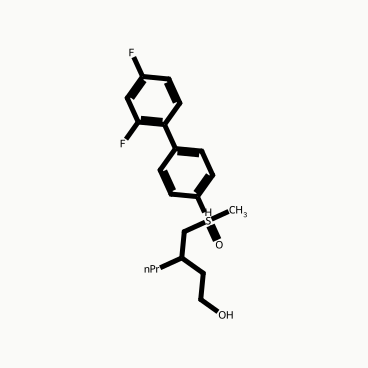 CCCC(CCO)C[SH](C)(=O)c1ccc(-c2ccc(F)cc2F)cc1